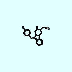 NCC1Cc2c(n(Cc3ccc(F)cc3)c3ccccc23)CN1